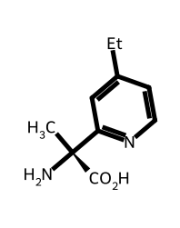 CCc1ccnc([C@@](C)(N)C(=O)O)c1